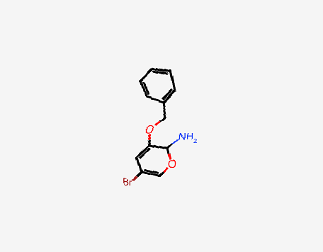 NC1OC=C(Br)C=C1OCc1ccccc1